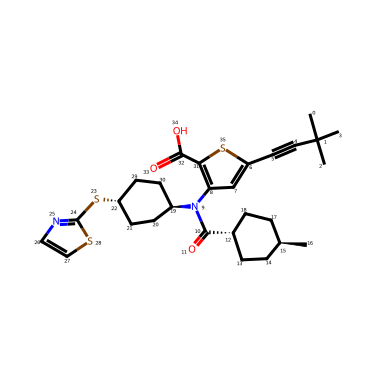 CC(C)(C)C#Cc1cc(N(C(=O)[C@H]2CC[C@H](C)CC2)[C@H]2CC[C@H](Sc3nccs3)CC2)c(C(=O)O)s1